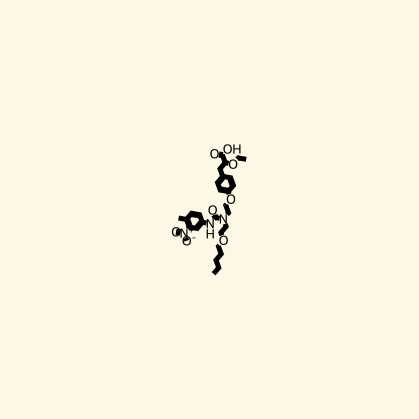 CCCCCOCCN(CCOc1ccc(CC(OCC)C(=O)O)cc1)C(=O)Nc1ccc(C)c([N+](=O)[O-])c1